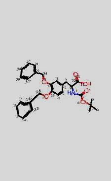 CC(C)(C)OC(=O)NC(Cc1ccc(OCc2ccccc2)c(OCc2ccccc2)c1)C(=O)O